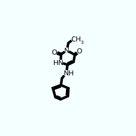 CCn1c(=O)cc(NCc2ccccc2)[nH]c1=O